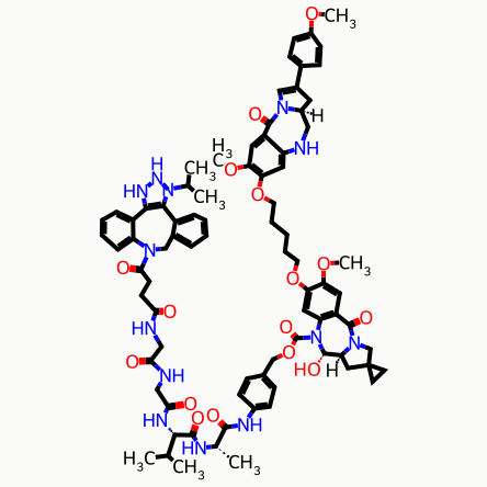 COc1ccc(C2=CN3C(=O)c4cc(OC)c(OCCCCCOc5cc6c(cc5OC)C(=O)N5CC7(CC7)C[C@H]5[C@H](O)N6C(=O)OCc5ccc(NC(=O)[C@H](C)NC(=O)[C@@H](NC(=O)CNC(=O)CNC(=O)CCC(=O)N6Cc7ccccc7C7=C(NNN7C(C)C)c7ccccc76)C(C)C)cc5)cc4NC[C@@H]3C2)cc1